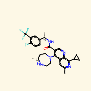 Cc1cc2c(N3CCN[C@H](C)CC3)c(C(=O)N[C@@H](C)c3ccc(F)c(C(F)(F)F)c3)cnc2c(C2CC2)n1